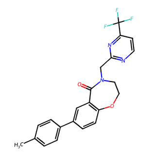 Cc1ccc(-c2ccc3c(c2)C(=O)N(Cc2nccc(C(F)(F)F)n2)CCO3)cc1